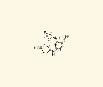 N#Cc1cnc(NC2CCC(O)CC2)nc1NC1CC(F)(F)C1